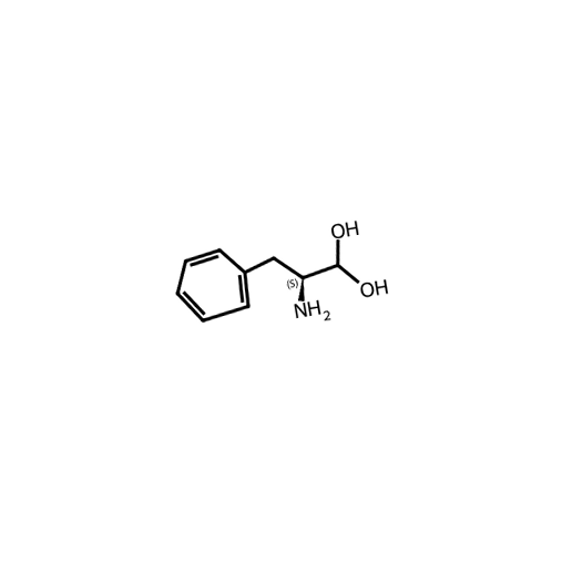 N[C@@H](Cc1ccccc1)C(O)O